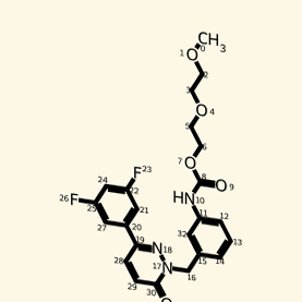 COCCOCCOC(=O)Nc1cccc(Cn2nc(-c3cc(F)cc(F)c3)ccc2=O)c1